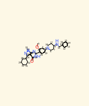 COc1cc(N2CCC(NCc3ccccc3)CC2)ccc1-c1nc2c(c(C3CCCCC3)nn2C)c(=O)[nH]1